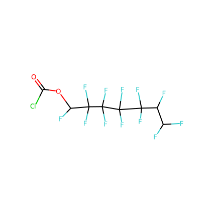 O=C(Cl)OC(F)C(F)(F)C(F)(F)C(F)(F)C(F)(F)C(F)C(F)F